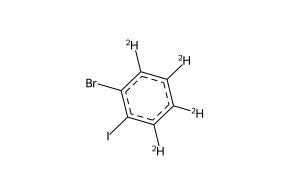 [2H]c1c([2H])c([2H])c(I)c(Br)c1[2H]